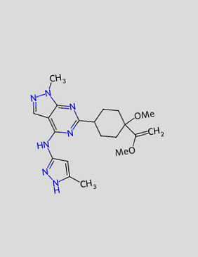 C=C(OC)C1(OC)CCC(c2nc(Nc3cc(C)[nH]n3)c3cnn(C)c3n2)CC1